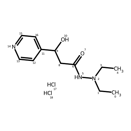 CCN(CC)NC(=O)CC(O)c1ccncc1.Cl.Cl